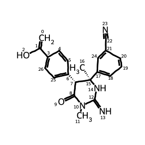 C=C(O)c1ccc([C@H]2C(=O)N(C)C(=N)N[C@]2(C)c2cccc(C#N)c2)cc1